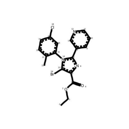 CCOC(=O)c1nc(-c2cccnc2)n(-c2cc(Cl)ccc2C)c1Br